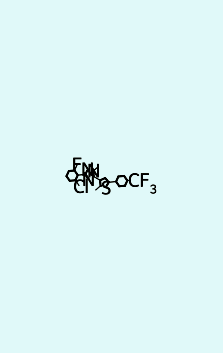 Cc1sc(-c2ccc(C(F)(F)F)cc2)cc1-c1nc(-c2c(F)cccc2Cl)nn1C